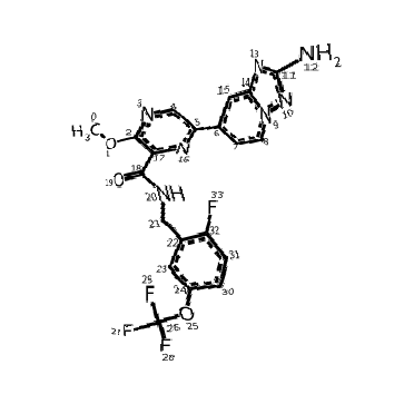 COc1ncc(-c2ccn3nc(N)nc3c2)nc1C(=O)NCc1cc(OC(F)(F)F)ccc1F